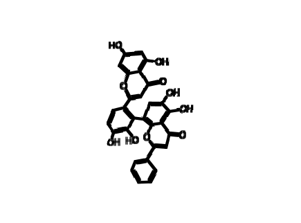 O=c1cc(-c2ccc(O)c(O)c2-c2cc(O)c(O)c3c(=O)cc(-c4ccccc4)oc23)oc2cc(O)cc(O)c12